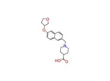 O=C(O)C1CCN(Cc2ccc3cc(OC4CCOC4)ccc3c2)CC1